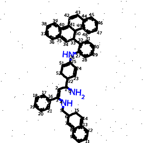 NC(/C=C(\NCC1C=c2ccccc2=CC1)c1ccccc1)C1C=CC(Nc2ccccc2C2C=c3ccccc3=C3C=Cc4ccccc4C32)=CC1